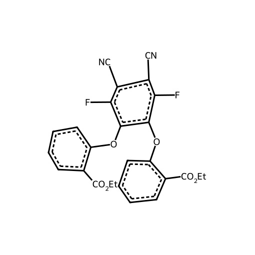 CCOC(=O)c1ccccc1Oc1c(F)c(C#N)c(C#N)c(F)c1Oc1ccccc1C(=O)OCC